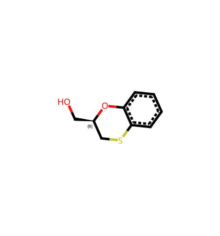 OC[C@@H]1CSc2ccccc2O1